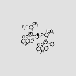 Nc1ccnc(-c2nnn(Cc3cc(C(F)(F)F)cc(C(F)(F)F)c3)c2-c2ccccc2)c1C(=O)c1ccccc1Cl.Nc1ccnc(-c2nnn(Cc3cc(C(F)(F)F)cc(C(F)(F)F)c3)c2-c2ccccc2)c1C(=O)c1ccccc1Cl.O